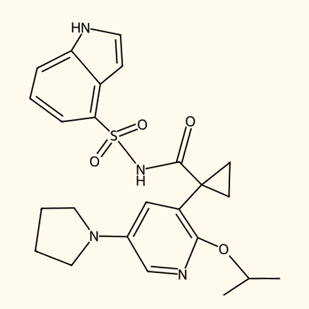 CC(C)Oc1ncc(N2CCCC2)cc1C1(C(=O)NS(=O)(=O)c2cccc3[nH]ccc23)CC1